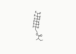 CCC(C)C(=O)OCCC(F)(F)C(F)(F)C(F)(F)C(F)(F)C(F)(F)C(F)F